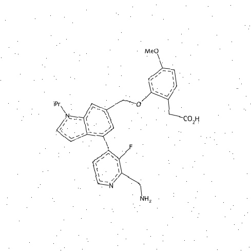 COc1ccc(CC(=O)O)c(OCc2cc(-c3ccnc(CN)c3F)c3ccn(C(C)C)c3c2)c1